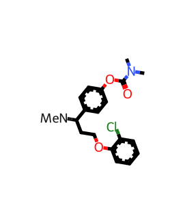 CNC(CCOc1ccccc1Cl)c1ccc(OC(=O)N(C)C)cc1